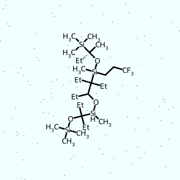 CCC(O[SiH](C)C(CC)(CC)O[Si](C)(C)C)C(CC)(CC)[Si](C)(CCC(F)(F)F)O[C@@](C)(CC)[Si](C)(C)C